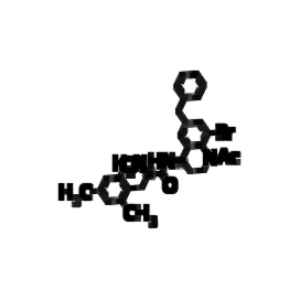 CC(=O)N1CC[C@@H](NC(=O)[C@@H](N)Cc2c(C)cc(C)cc2C)c2cc(Cc3ccccc3)cc(Br)c21